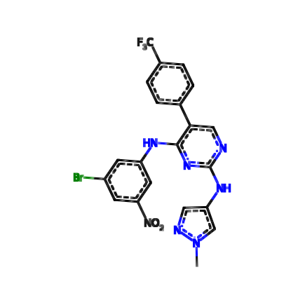 Cn1cc(Nc2ncc(-c3ccc(C(F)(F)F)cc3)c(Nc3cc(Br)cc([N+](=O)[O-])c3)n2)cn1